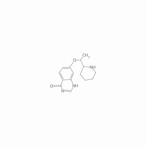 CC(Oc1ccc2c(=O)nc[nH]c2c1)C1CCCCN1